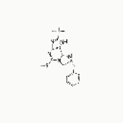 CSC1=Nc2nc(C(C)(C)C)[nH]c2C2=N[C@H](Cc3ccccc3)CN12